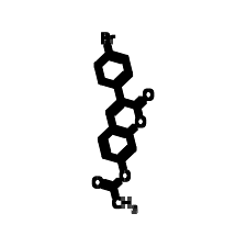 CC(=O)Oc1ccc2cc(C3=CC=C(Br)CC3)c(=O)oc2c1